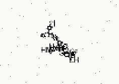 C#Cc1ccc(S(=O)(=O)NC(=O)c2ccc(N3CCN(CC4=C(c5ccc(Cl)cc5)CC5(CCC5)CC4)CC3)cc2Oc2cnc3[nH]ccc3c2)cc1[N+](=O)[O-]